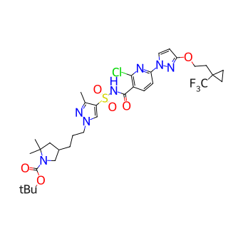 Cc1nn(CCCC2CN(C(=O)OC(C)(C)C)C(C)(C)C2)cc1S(=O)(=O)NC(=O)c1ccc(-n2ccc(OCCC3(C(F)(F)F)CC3)n2)nc1Cl